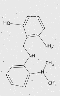 CN(C)c1ccccc1NCc1c(N)cccc1O